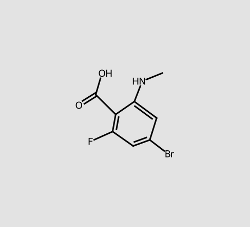 CNc1cc(Br)cc(F)c1C(=O)O